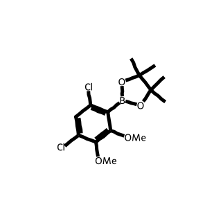 COc1c(Cl)cc(Cl)c(B2OC(C)(C)C(C)(C)O2)c1OC